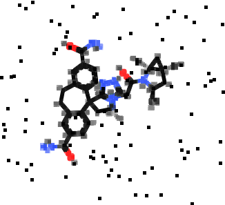 C[C@H](CC1(c2nnc[nH]2)c2ccc(C(N)=O)cc2CCc2cc(C(N)=O)ccc21)NCC(=O)N1[C@H](C#N)C[C@@H]2C[C@@H]21